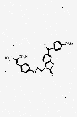 COc1ccc(C(=O)c2ccc3c(c2)sc(=O)n3CCOc2ccc(C=C(C(=O)O)C(=O)O)cc2)cc1